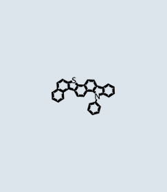 c1ccc(-n2c3ccccc3c3ccc4c(ccc5c4sc4ccc6ccccc6c45)c32)cc1